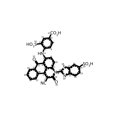 N#Cc1c2c3c(c(Nc4ccc(C(=O)O)cc4S(=O)(=O)O)ccc3n(-c3nc4ccc(S(=O)(=O)O)cc4s3)c1=O)C(=O)c1ccccc1-2